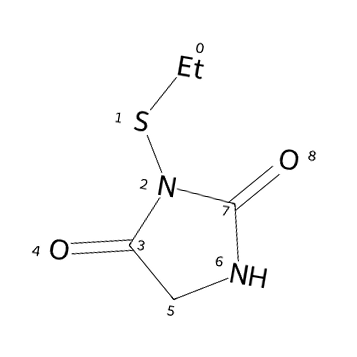 CCSN1C(=O)CNC1=O